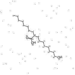 CCCCCCCCC(CCCCCCCCO)C(=O)O